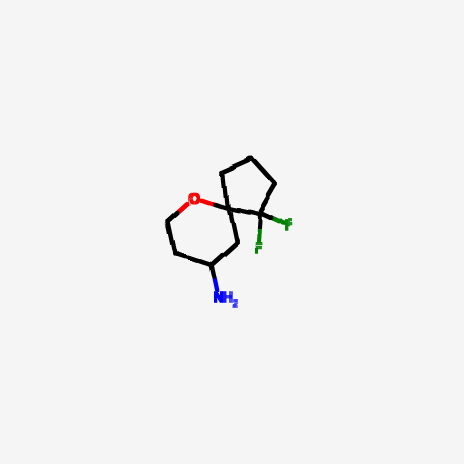 NC1CCOC2(CCCC2(F)F)C1